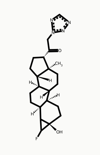 C[C@]12CC[C@@H]3[C@H]4CC[C@]5(O)C(F)C5[C@H]4CC[C@H]3[C@@H]1CC[C@@H]2C(=O)Cn1ncnn1